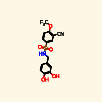 N#Cc1cc(S(=O)(=O)NCc2ccc(O)c(O)c2)ccc1OC(F)(F)F